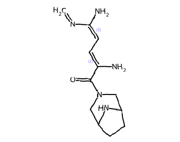 C=N/C(N)=C\C=C(/N)C(=O)N1CC2CCC(C1)N2